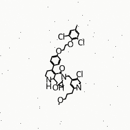 COCCCc1cc(CN(C(=O)C2=C(c3ccc(OCCOc4c(Cl)cc(C)cc4Cl)cc3)CCNC2CO)C2CC2)c(Cl)cn1